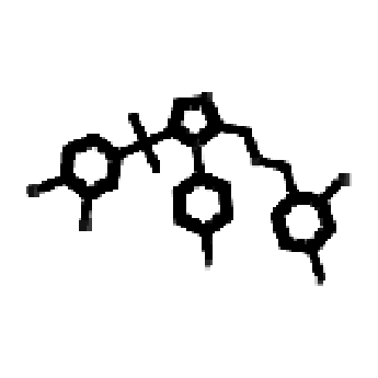 CC(C)(c1ccc(Cl)c(Cl)c1)c1cnc(COCc2ccc(F)cc2Cl)n1-c1ccc(F)cc1